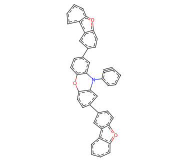 c1cccc(N2c3cc(-c4ccc5oc6ccccc6c5c4)ccc3Oc3ccc(-c4ccc5oc6ccccc6c5c4)cc32)c#1